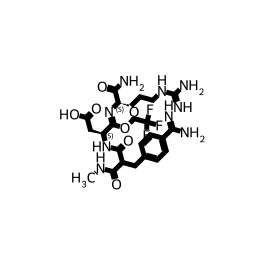 CNC(=O)C(Cc1ccc(C(=N)N)cc1)C(=O)N[C@@H](CC(=O)O)C(=N[C@@H](CCCNC(=N)N)C(N)=O)OC(=O)C(F)(F)F